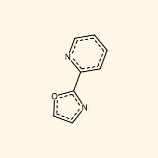 [c]1cnc(-c2ccccn2)o1